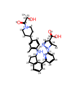 Cc1cc(C2CCN(C(=O)[C@H](C)O)CC2)ccc1NC1CCc2cccc(-c3cccc(-n4ncc(C(=O)O)c4C)n3)c21